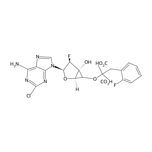 Nc1nc(Cl)nc2c1ncn2[C@@H]1O[C@@H]2C(OC(Cc3ccccc3F)(C(=O)O)C(=O)O)[C@]2(O)[C@@H]1F